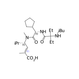 CCC(C)NC(CC)(CC)C(=O)N[C@H](C(=O)N(C)[C@H](/C=C(\C)C(=O)O)C(C)C)C1CCCC1